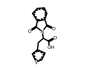 O=C(O)C(Cc1ccsc1)N1C(=O)c2ccccc2C1=O